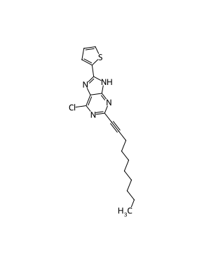 CCCCCCCCC#Cc1nc(Cl)c2nc(-c3cccs3)[nH]c2n1